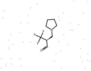 O=[C][C@H](CN1CCCC1)C(F)(F)F